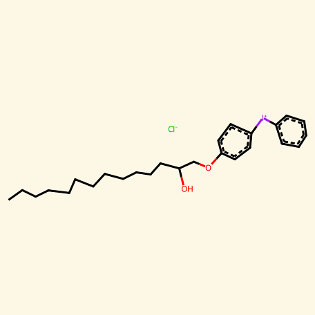 CCCCCCCCCCCCC(O)COc1ccc([I+]c2ccccc2)cc1.[Cl-]